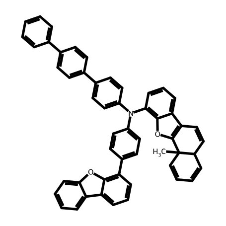 CC12C=CC=CC1C=Cc1c2oc2c(N(c3ccc(-c4ccc(-c5ccccc5)cc4)cc3)c3ccc(-c4cccc5c4oc4ccccc45)cc3)cccc12